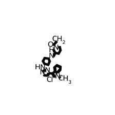 C=CC(=O)N1CCCC(CN[C@H]2CC[C@@H](Nc3ncc(Cl)c(-c4cn(C)c5ccccc45)n3)CC2)C1